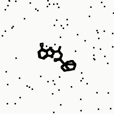 CC(CC(=O)N1C2CC3CC(C2)CC1C3)c1nc2c(Cl)cccc2s1